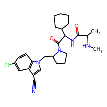 CNC(C)C(=O)NC(C(=O)N1CCCC1Cn1cc(C#N)c2cc(Cl)ccc21)C1CCCCC1